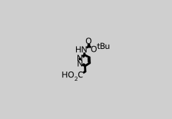 CC(C)(C)OC(=O)Nc1ccc(CC(=O)O)nn1